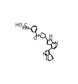 O=C(O)Nc1cccc(C(=O)N2CCC(c3cc4c(-c5cnn6ncccc56)ccnc4[nH]3)C2)c1